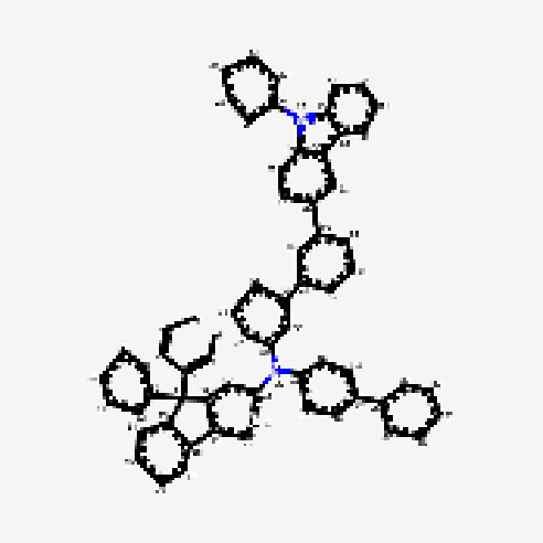 C/C=C\C(=C/C)C1(c2ccccc2)c2ccccc2-c2ccc(N(c3ccc(-c4ccccc4)cc3)c3cccc(-c4cccc(-c5ccc6c(c5)c5ccccc5n6-c5ccccc5)c4)c3)cc21